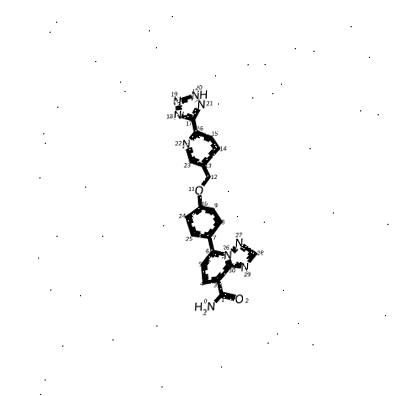 NC(=O)c1ccc(-c2ccc(OCc3ccc(-c4nn[nH]n4)nc3)cc2)n2n[c]nc12